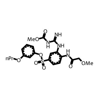 CCCOc1cccc(OS(=O)(=O)c2ccc(NC(=O)COC)c(NC(=N)NC(=O)OC)c2)c1